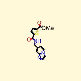 COC(=O)c1ccc(C(=O)NCc2ccn3ccnc3c2)s1